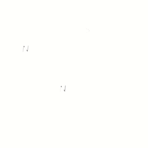 c1ccc2nc3c(cc2c1)sc1cccnc13